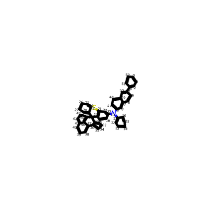 c1ccc(-c2ccc3cc(N(c4ccccc4)c4ccc5c(c4)Sc4ccccc4C54c5ccccc5-c5cccc6cccc4c56)ccc3c2)cc1